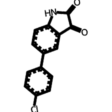 O=C1Nc2ccc(-c3ccc(Cl)cc3)cc2C1=O